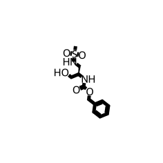 CS(=O)(=O)NC[C@H](CO)NC(=O)OCc1ccccc1